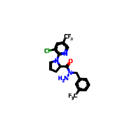 NN(Cc1cccc(C(F)(F)F)c1)C(=O)C1CC=CN1c1ncc(C(F)(F)F)cc1Cl